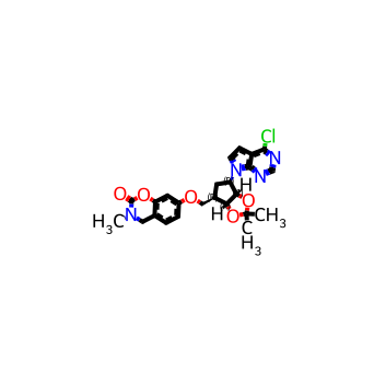 CN1Cc2ccc(OC[C@H]3C[C@@H](n4ccc5c(Cl)ncnc54)[C@@H]4OC(C)(C)O[C@H]34)cc2OC1=O